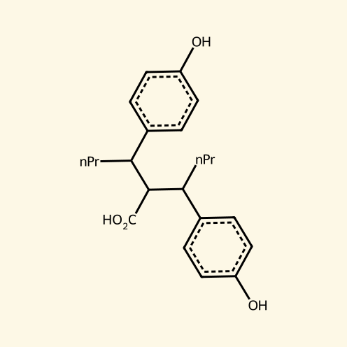 CCCC(c1ccc(O)cc1)C(C(=O)O)C(CCC)c1ccc(O)cc1